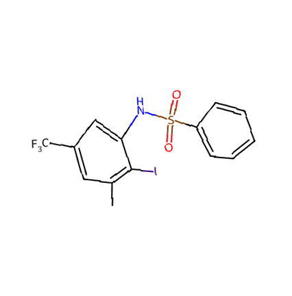 Cc1cc(C(F)(F)F)cc(NS(=O)(=O)c2ccccc2)c1I